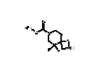 CC(C)(C)OC(=O)N1CCC2(CNC2)C(F)(F)C1